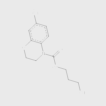 CCCCOC(=O)N1CCOc2cc(C)ccc21